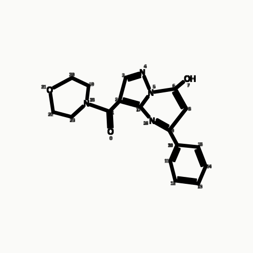 O=C(c1cnn2c(O)cc(-c3ccccc3)nc12)N1CCOCC1